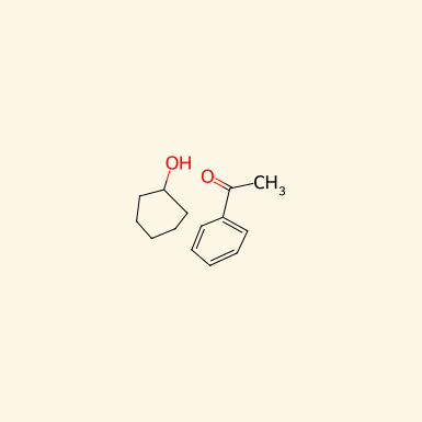 CC(=O)c1ccccc1.OC1CCCCC1